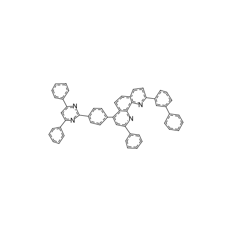 c1ccc(-c2cccc(-c3ccc4ccc5c(-c6ccc(-c7nc(-c8ccccc8)cc(-c8ccccc8)n7)cc6)cc(-c6ccccc6)nc5c4n3)c2)cc1